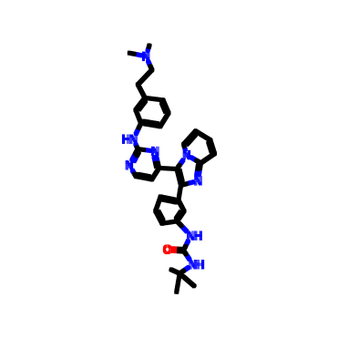 CN(C)CCc1cccc(Nc2nccc(-c3c(-c4cccc(NC(=O)NC(C)(C)C)c4)nc4ccccn34)n2)c1